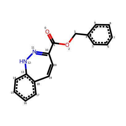 O=C(OCc1ccccc1)C1=NNc2ccccc2C=C1